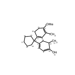 COC1=C(C)C=C(C2(C3=CC=C(O)C(C)C3)CCCCC2)CC1